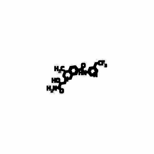 C[C@H]1CN(C[C@H](O)C(N)=O)Cc2cc(C(=O)Nc3cncc(CC(F)(F)F)c3)ccc21